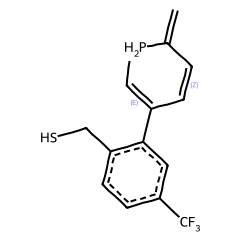 C=C(P)/C=C\C(=C/C)c1cc(C(F)(F)F)ccc1CS